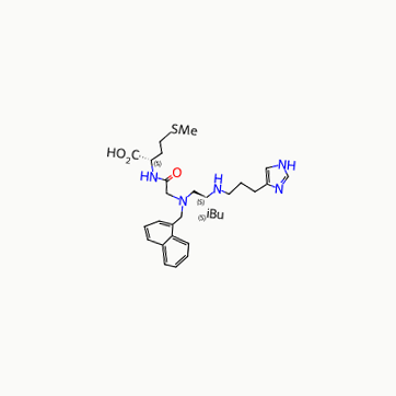 CC[C@H](C)[C@@H](CN(CC(=O)N[C@@H](CCSC)C(=O)O)Cc1cccc2ccccc12)NCCCc1c[nH]cn1